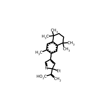 C=C(C(=O)O)C1(CC)C=C(c2cc3c(cc2C)C(C)(C)CCC3(C)C)C=N1